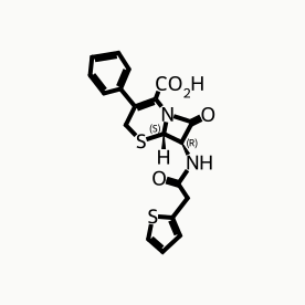 O=C(Cc1cccs1)N[C@@H]1C(=O)N2C(C(=O)O)=C(c3ccccc3)CS[C@@H]12